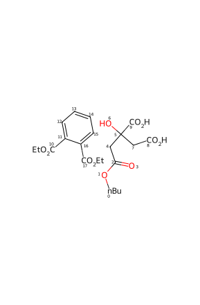 CCCCOC(=O)CC(O)(CC(=O)O)C(=O)O.CCOC(=O)c1ccccc1C(=O)OCC